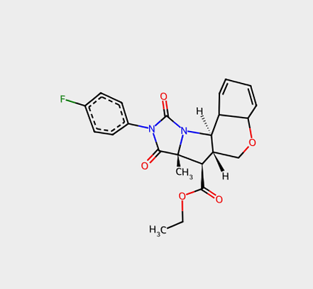 CCOC(=O)[C@@H]1[C@H]2COC3C=CC=CC3[C@@H]2N2C(=O)N(c3ccc(F)cc3)C(=O)[C@@]12C